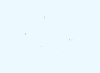 COCCn1cc(C(=O)N2CCC(c3cc(CNC(=O)C(F)(F)F)ccc3F)CC2)c2cccc(O)c21